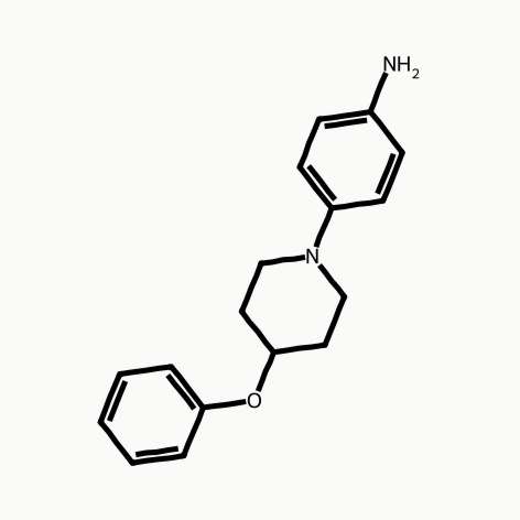 Nc1ccc(N2CCC(Oc3ccccc3)CC2)cc1